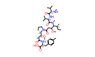 CC[C@H](C)C(C(CC(=O)N1CCC[C@H]1[C@H](OC)[C@@H](C)C(=O)N[C@@H](Cc1ccc(C)cc1)C(=O)O)OC)N(C)C(=O)[C@@H](NC(=O)[C@@H](NC)C(C)C)C(C)C